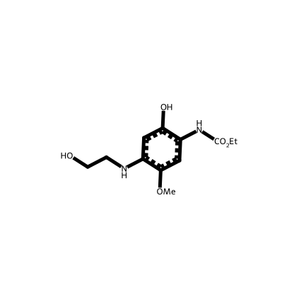 CCOC(=O)Nc1cc(OC)c(NCCO)cc1O